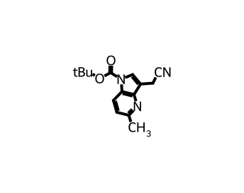 Cc1ccc2c(n1)c(CC#N)cn2C(=O)OC(C)(C)C